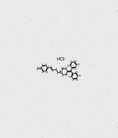 Cl.Fc1ccc(/C=C/CCN2CCC(=C(c3ccccc3)c3ccccc3)CC2)cc1